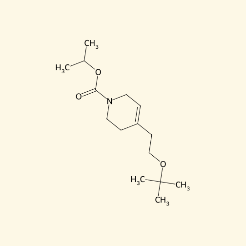 CC(C)OC(=O)N1CC=C(CCOC(C)(C)C)CC1